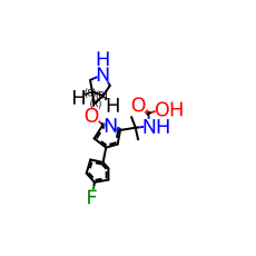 CC(C)(NC(=O)O)c1cc(-c2ccc(F)cc2)cc(O[C@@H]2[C@@H]3CNC[C@@H]32)n1